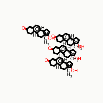 C[C@]12CC[C@H]3[C@@H](CCC4=CC(=O)CC[C@@]43C)[C@@H]1CC[C@@H]2O.C[C@]12CC[C@H]3[C@@H](CCC4=CC(=O)CC[C@@]43C)[C@@H]1CC[C@@H]2O.C[C@]12CC[C@H]3[C@@H](CCC4=CC(=O)CC[C@@]43C)[C@@H]1CC[C@@H]2O.C[C@]12CC[C@H]3[C@@H](CCC4=CC(=O)CC[C@@]43C)[C@@H]1CC[C@@H]2O